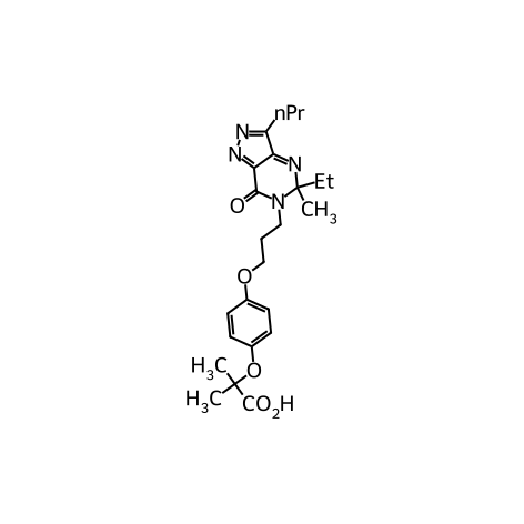 CCCC1=NN=C2C(=O)N(CCCOc3ccc(OC(C)(C)C(=O)O)cc3)C(C)(CC)N=C12